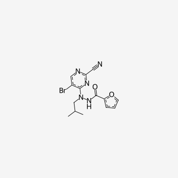 CC(C)CN(NC(=O)c1ccco1)c1nc(C#N)ncc1Br